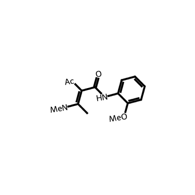 CNC(C)=C(C(C)=O)C(=O)Nc1ccccc1OC